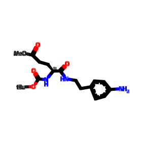 COC(=O)CC[C@H](NC(=O)OC(C)(C)C)C(=O)NCCc1ccc(N)cc1